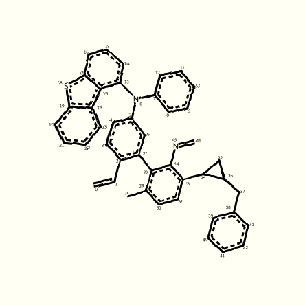 C=Cc1ccc(N(c2ccccc2)c2cccc3sc4ccccc4c23)cc1-c1c(C)ccc(C2CC2Cc2ccccc2)c1N=C